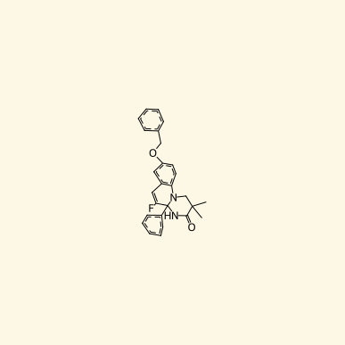 CC1(C)CN2c3ccc(OCc4ccccc4)cc3C=C(F)C2(c2ccccc2)NC1=O